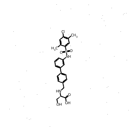 Cc1cc(S(=O)(=O)Nc2cccc(-c3ccc(CN[C@H](CO)C(=O)O)cc3)c2)c(C)cc1Cl